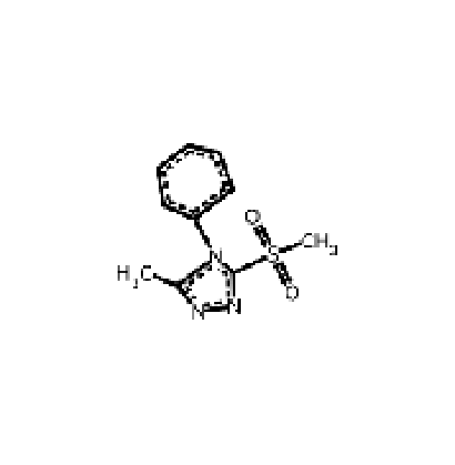 Cc1nnc(S(C)(=O)=O)n1-c1ccccc1